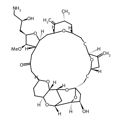 C=C1C[C@@H]2CC[C@]34C[C@@H](O)[C@H](O3)[C@H]3C[C@@H](O4)[C@H]4O[C@H](CC[C@@H]4O3)CC(=O)C[C@@H]3[C@@H](OC)[C@@H](C[C@H](O)CN)O[C@H]3C[C@H]3O[C@@H](CC[C@@H]1O2)C[C@@H](C)C3=C